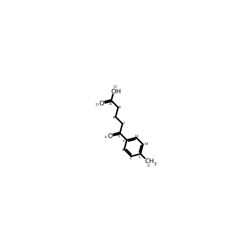 Cc1ccc(C(=O)CCCC(=O)O)cc1